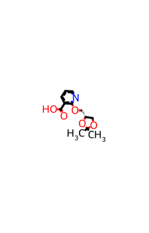 CC1(C)OC[C@@H](COc2ncccc2C(=O)O)O1